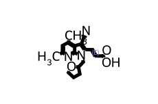 Cc1cc(C)c2c(C#N)c(/C=C/C(=O)O)n(CC3CCCO3)c2n1